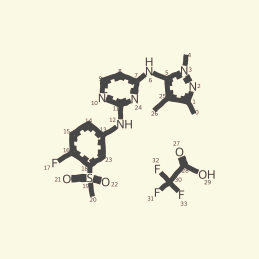 Cc1nn(C)c(Nc2ccnc(Nc3ccc(F)c(S(C)(=O)=O)c3)n2)c1C.O=C(O)C(F)(F)F